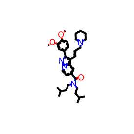 COc1ccc(-c2nn3ccc(C(=O)N(CCC(C)C)CCC(C)C)cc3c2/C=C/CN2CCCCC2)cc1OC